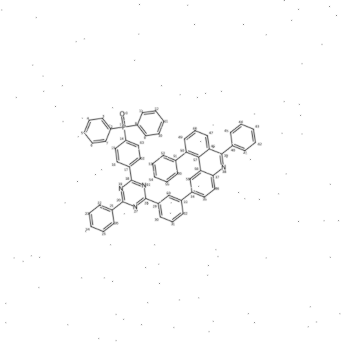 O=P(c1ccccc1)(c1ccccc1)c1ccc(-c2nc(-c3ccccc3)nc(-c3cccc(-c4ccc5nc(-c6ccccc6)c6cccc(-c7ccccc7)c6c5c4)c3)n2)cc1